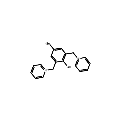 CC(C)(C)c1cc(C[n+]2ccccc2)c(O)c(C[n+]2ccccc2)c1